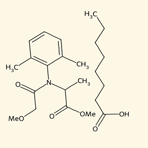 CCCCCCCC(=O)O.COCC(=O)N(c1c(C)cccc1C)C(C)C(=O)OC